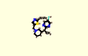 CC(=O)Nc1ncc(CN2CCCC([C@H](C)c3ncc(F)cn3)C2)s1